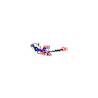 Cc1ncsc1-c1ccc(C(C)NC(=O)[C@@H]2C[C@@H](O)CN2C(=O)C(NC(=O)CCCCCCCCCCO)C(C)(C)C)cc1